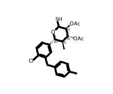 CC(=O)O[C@@H]1[C@@H](C)[C@H](c2ccc(Cl)c(Cc3ccc(C)cc3)c2)OC(S)[C@H]1OC(C)=O